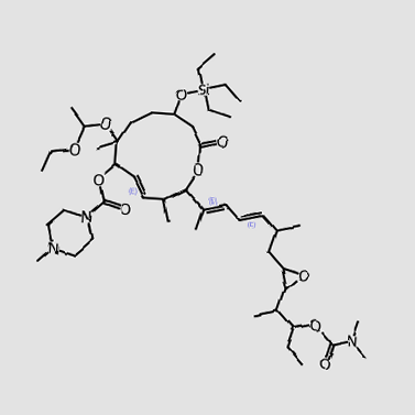 CCOC(C)OC1(C)CCC(O[Si](CC)(CC)CC)CC(=O)OC(/C(C)=C/C=C/C(C)CC2OC2C(C)C(CC)OC(=O)N(C)C)C(C)/C=C/C1OC(=O)N1CCN(C)CC1